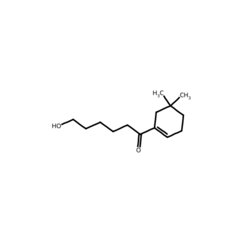 CC1(C)CCC=C(C(=O)CCCCCO)C1